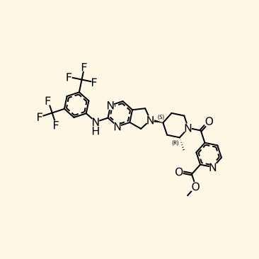 COC(=O)c1cc(C(=O)N2CC[C@H](N3Cc4cnc(Nc5cc(C(F)(F)F)cc(C(F)(F)F)c5)nc4C3)C[C@H]2C)ccn1